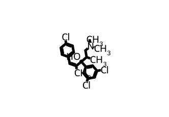 CC(=Cc1ccc(Cl)cc1)C(O)(c1cc(Cl)cc(Cl)c1)C(C)CN(C)C